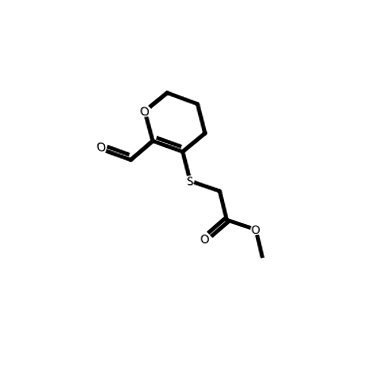 COC(=O)CSC1=C(C=O)OCCC1